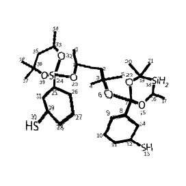 CC(CC(C)(C)OC1(C2CCCC(S)C2)OC(C)[SiH2]C(C)(C)O1)O[Si]1(C2CCCC(S)C2)OC(C)CC(C)(C)O1